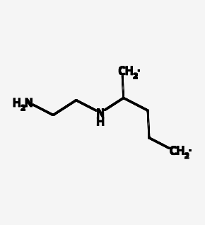 [CH2]CCC([CH2])NCCN